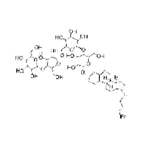 CC(C)CCC[C@@H](C)[C@H]1CC[C@H]2[C@@H]3CC=C4C[C@@H](O[C@H]5OC(CO)[C@@H](O[C@H]6OC(CO[C@@H]7OC(CO)[C@@H](O[C@H]8OC(CO)[C@@H](O)C(O)C8O)C(O)C7O)[C@@H](O)C(O)C6O)C(O)C5O)CC[C@]4(C)[C@H]3CC[C@]12C